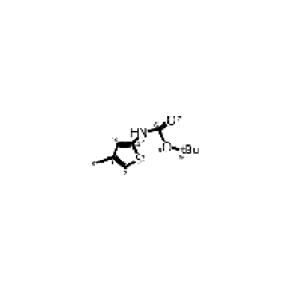 Cc1csc(NC(=O)OC(C)(C)C)c1